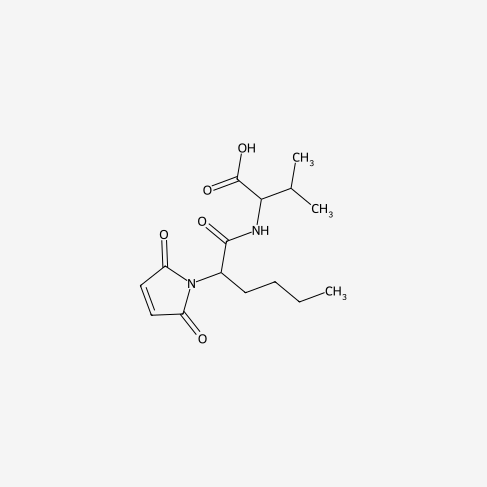 CCCCC(C(=O)NC(C(=O)O)C(C)C)N1C(=O)C=CC1=O